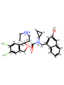 O=C([C@H]1CNCC[C@@]12OCc1cc(F)c(F)cc12)N(Cc1cc(Br)cc2ccccc12)C1CC1